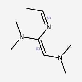 C/C=N\C(=C/N(C)C)N(C)C